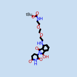 CC(C)(C)OC(=O)NCCOCCOCCNc1cccc2c1C(=O)N(C1CCC(=O)NC1=O)C2O